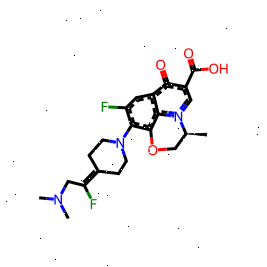 C[C@H]1COc2c(N3CCC(=C(F)CN(C)C)CC3)c(F)cc3c(=O)c(C(=O)O)cn1c23